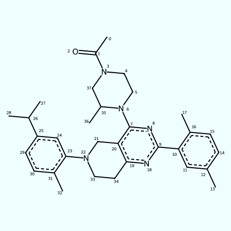 CC(=O)N1CCN(c2nc(-c3cc(C)ccc3C)nc3c2CN(c2cc(C(C)C)ccc2C)CC3)C(C)C1